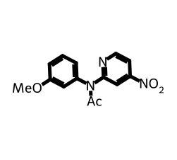 COc1cccc(N(C(C)=O)c2cc([N+](=O)[O-])ccn2)c1